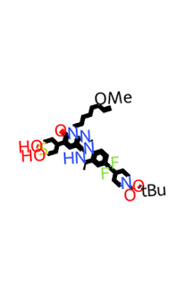 C=CC(CCCCCn1c(=O)c(C2CCS(O)(O)CC2)cc2c(N[C@H](C)c3cccc(C(F)(F)C4CCN(C(=O)OC(C)(C)C)CC4)c3)ncnc21)OC